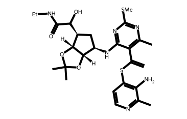 C=C(Sc1ccnc(C)c1N)c1c(C)nc(SC)nc1N[C@@H]1C[C@H](C(O)C(=O)NCC)[C@H]2OC(C)(C)O[C@H]21